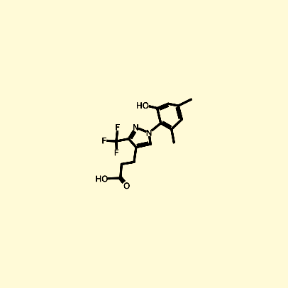 Cc1cc(C)c(-n2cc(CCC(=O)O)c(C(F)(F)F)n2)c(O)c1